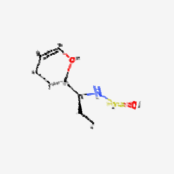 CC[C@H](N[SH]=O)[C@@H]1CCC=CO1